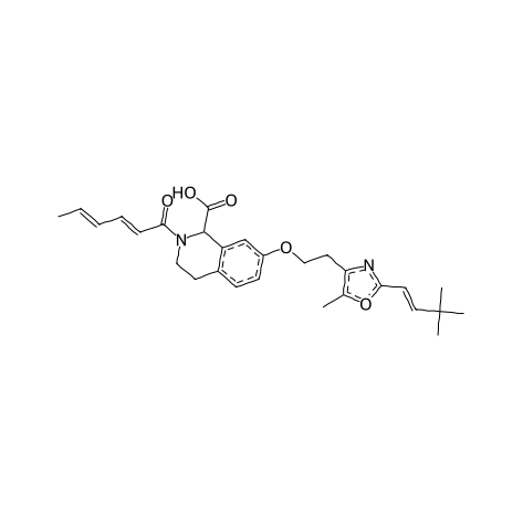 CC=CC=CC(=O)N1CCc2ccc(OCCc3nc(C=CC(C)(C)C)oc3C)cc2C1C(=O)O